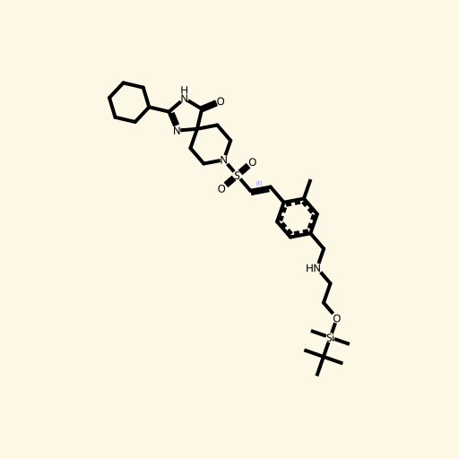 Cc1cc(CNCCO[Si](C)(C)C(C)(C)C)ccc1/C=C/S(=O)(=O)N1CCC2(CC1)N=C(C1CCCCC1)NC2=O